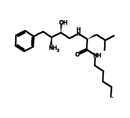 [CH2]CCCCNC(=O)[C@@H](CC(C)C)NC[C@@H](O)[C@@H](N)Cc1ccccc1